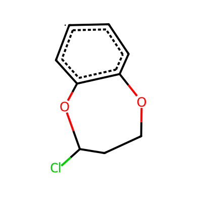 ClC1CCOc2cc[c]cc2O1